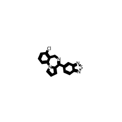 Clc1cccc2c1CN=C(c1ccc3nsnc3c1)c1cccn1-2